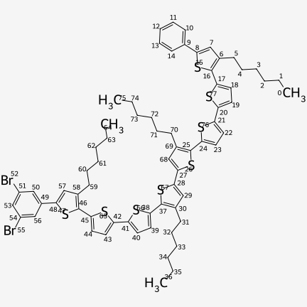 CCCCCCc1cc(-c2ccccc2)sc1-c1ccc(-c2ccc(-c3sc(-c4cc(CCCCCC)c(-c5ccc(-c6ccc(-c7sc(-c8cc(Br)cc(Br)c8)cc7CCCCCC)s6)s5)s4)cc3CCCCCC)s2)s1